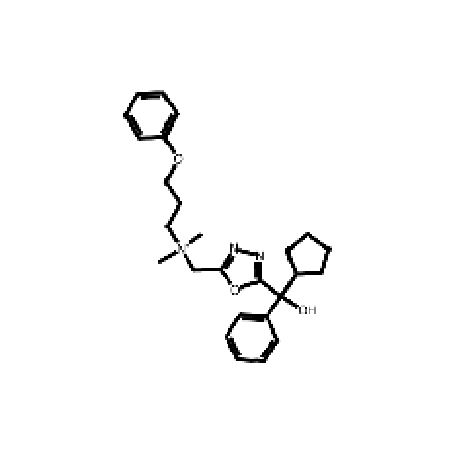 C[N+](C)(CCCOc1ccccc1)Cc1nnc(C(O)(c2ccccc2)C2CCCC2)o1